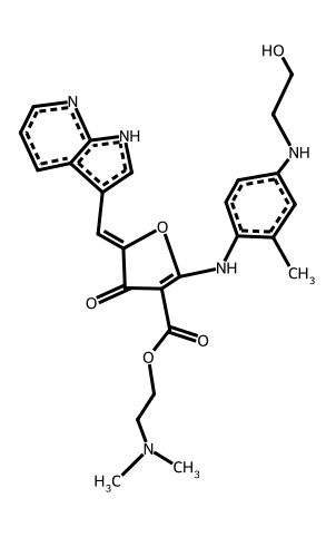 Cc1cc(NCCO)ccc1NC1=C(C(=O)OCCN(C)C)C(=O)/C(=C/c2c[nH]c3ncccc23)O1